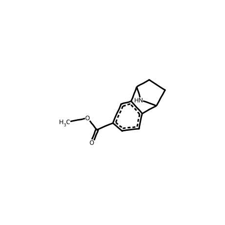 COC(=O)c1ccc2c(c1)C1CCC2N1